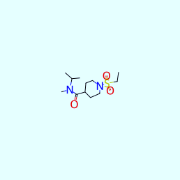 CCS(=O)(=O)N1CCC(C(=O)N(C)C(C)C)CC1